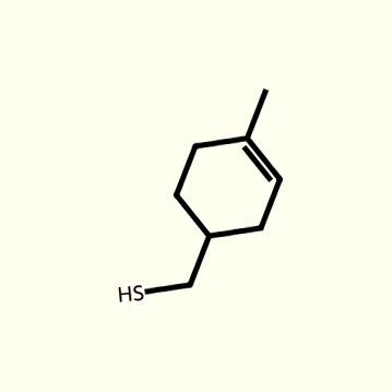 CC1=CCC(CS)CC1